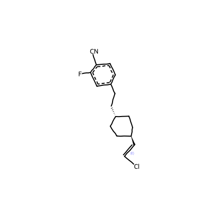 N#Cc1ccc(CC[C@H]2CC[C@H](/C=C/Cl)CC2)cc1F